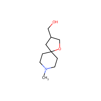 CN1CCC2(CC1)CC(CO)CO2